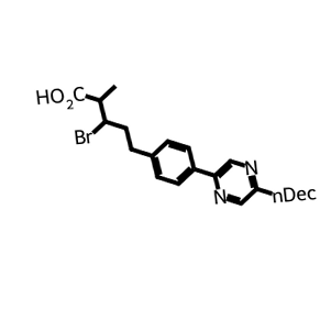 CCCCCCCCCCc1cnc(-c2ccc(CCC(Br)C(C)C(=O)O)cc2)cn1